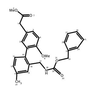 COC(=O)Cc1ccc(OC)c(-c2ccc(C)cc2CNC(=O)OCc2ccccc2)c1